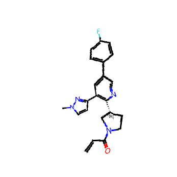 C=CC(=O)N1CC[C@@H](c2ncc(-c3ccc(F)cc3)cc2-c2ccn(C)n2)C1